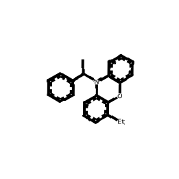 CCc1cccc2c1Oc1ccccc1N2C(C)c1ccccc1